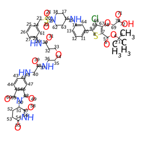 CC(C)(C)OC(=O)c1sc(-c2cccc(NC3CCN(S(=O)(=O)Cc4cccc(NC(=O)CCOCCNC(=O)CNc5ccc6c(c5)C(=O)N(C5CCC(=O)NC5=O)C6=O)c4)CC3)c2)c(Cl)c1OCC(=O)O